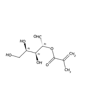 C=C(C)C(=O)O[C@@H](C=O)[C@@H](O)[C@H](O)CO